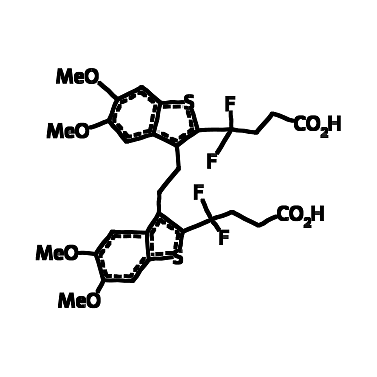 COc1cc2sc(C(F)(F)CCC(=O)O)c(CCc3c(C(F)(F)CCC(=O)O)sc4cc(OC)c(OC)cc34)c2cc1OC